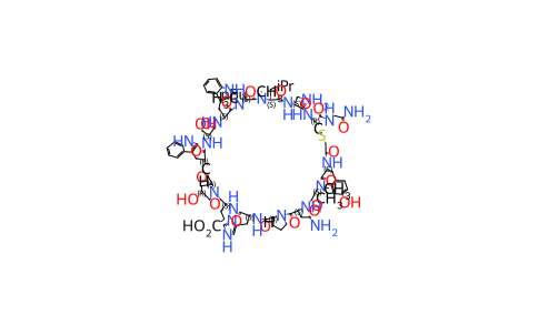 CCCC[C@H]1C(=O)N(C)[C@@H](CC(C)C)C(=O)N[C@@H](CN)C(=O)N[C@H](C(=O)NCC(N)=O)CSCC(=O)N[C@@H](Cc2ccc(O)cc2)C(=O)N(C)[C@@H](C)C(=O)N[C@@H](CC(N)=O)C(=O)N2CCC[C@H]2C(=O)N[C@@H](Cc2c[nH]cn2)C(=O)N[C@@H](CCC(=O)O)C(=O)N2C[C@H](O)C[C@H]2C(=O)C[C@@H](Cc2c[nH]c3ccccc23)C(=O)N[C@@H](CO)C(=O)N[C@@H](Cc2c[nH]c3ccccc23)C(=O)N1C